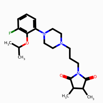 CC(C)Oc1c(F)cccc1N1CCN(CCCN2C(=O)C(C)C(C)C2=O)CC1